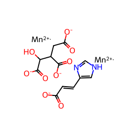 O=C([O-])C=Cc1c[nH]cn1.O=C([O-])CC(C(=O)[O-])C(O)C(=O)[O-].[Mn+2].[Mn+2]